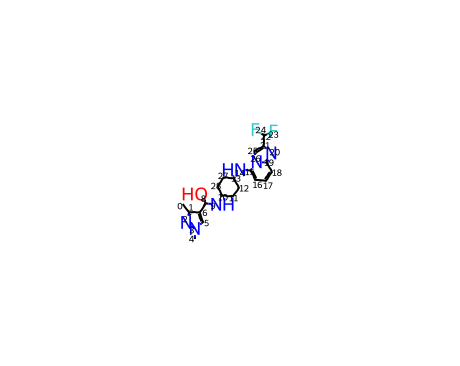 Cc1nn(C)cc1C(O)N[C@H]1CC[C@@H](Nc2cccc3nc(C(F)F)cn23)CC1